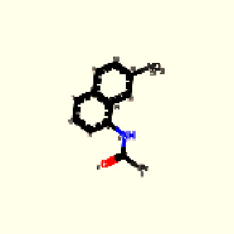 CC(C)C(=O)Nc1cccc2ccc([N+](=O)[O-])cc12